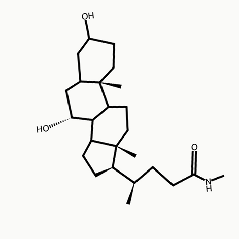 CNC(=O)CC[C@@H](C)[C@H]1CCC2C3C(CC[C@@]21C)[C@@]1(C)CCC(O)CC1C[C@H]3O